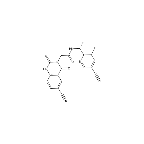 C[C@@H](NC(=O)Cn1c(=O)[nH]c2ccc(C#N)cc2c1=O)c1ncc(C#N)cc1F